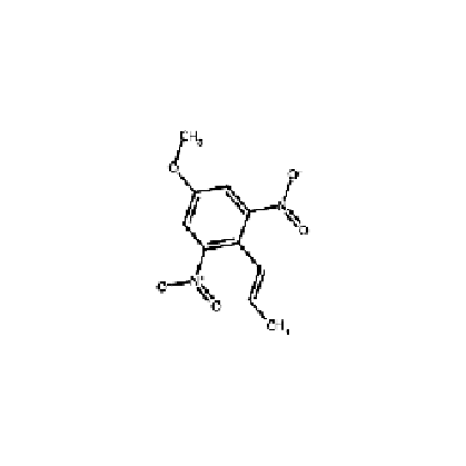 CC=Cc1c([N+](=O)[O-])cc(OC)cc1[N+](=O)[O-]